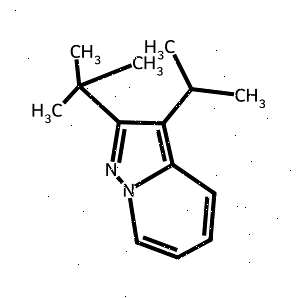 CC(C)c1c(C(C)(C)C)nn2ccccc12